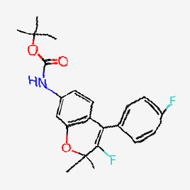 CC(C)(C)OC(=O)Nc1ccc2c(c1)OC(C)(C)C(F)=C2c1ccc(F)cc1